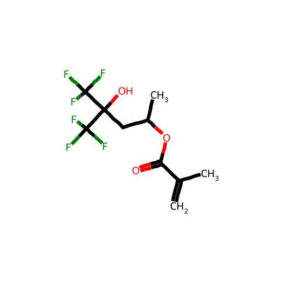 C=C(C)C(=O)OC(C)CC(O)(C(F)(F)F)C(F)(F)F